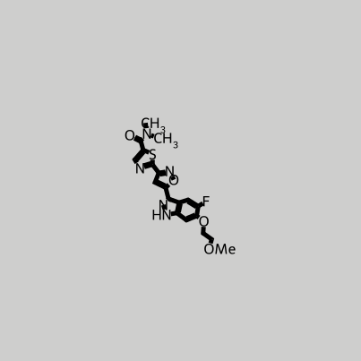 COCCOc1cc2[nH]nc(-c3cc(-c4ncc(C(=O)N(C)C)s4)no3)c2cc1F